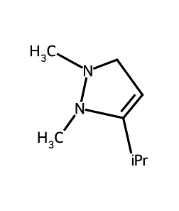 CC(C)C1=CCN(C)N1C